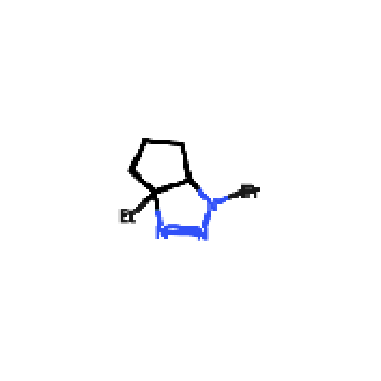 CCC12CCCC1N(C(C)C)N=N2